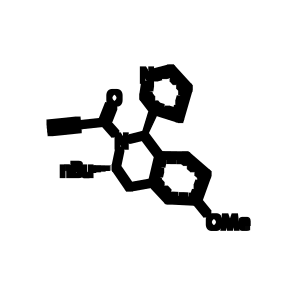 C#CC(=O)N1[C@@H](CCCC)Cc2cc(OC)ccc2[C@@H]1c1cccnc1